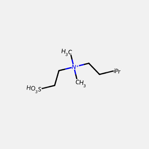 CC(C)CC[N+](C)(C)CCS(=O)(=O)O